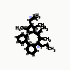 C=C/C=c1\c(=C)/c(=C/C)c2c(C)c(/C=C\C)c(C)n2c2ccccc2c2ccccc12